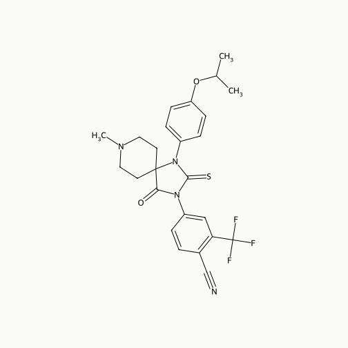 CC(C)Oc1ccc(N2C(=S)N(c3ccc(C#N)c(C(F)(F)F)c3)C(=O)C23CCN(C)CC3)cc1